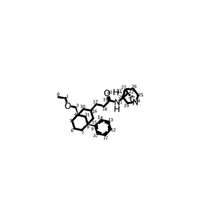 CCOC[C@@]12CCC[C@@](c3ccccc3)(CC(CCC(=O)N[C@@H]3CN4CCC3CC4)C1)C2